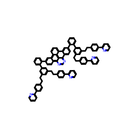 c1ccc(-c2ccc(CCc3cc(CCc4ccc(-c5ccccn5)cc4)cc(-c4ccccc4-c4ccc5c(c4)c4cccc6c7cc(-c8ccccc8-c8cc(CCc9ccc(-c%10ccccn%10)cc9)cc(CCc9ccc(-c%10ccccn%10)cc9)c8)ccc7c7ncnc5c7c46)c3)cc2)nc1